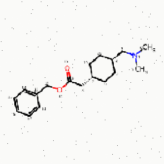 CN(C)C[C@H]1CC[C@H](CC(=O)OCc2ccccc2)CC1